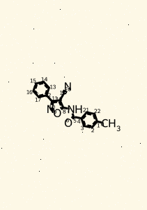 Cc1ccc(C(=O)Nc2onc(-c3ccccc3)c2C#N)cc1